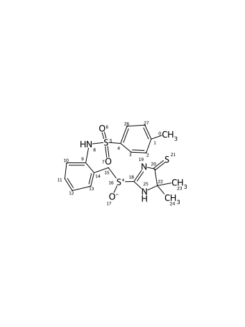 Cc1ccc(S(=O)(=O)Nc2ccccc2C[S+]([O-])C2=NC(=S)C(C)(C)N2)cc1